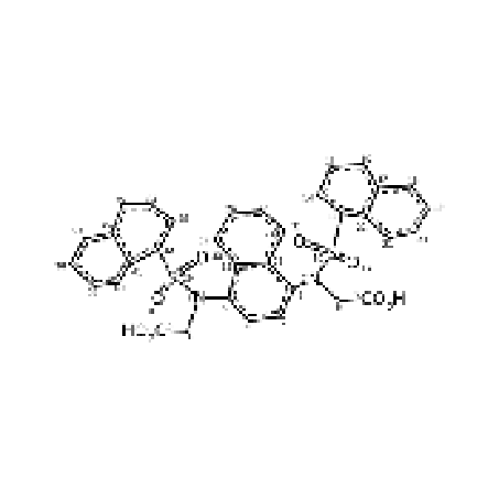 O=C(O)CN(c1ccc(N(CC(=O)O)S(=O)(=O)c2cccc3ccccc23)c2ccccc12)S(=O)(=O)c1cccc2ccccc12